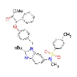 CCCCc1nc2ccc(N(C)S(=O)(=O)c3ccc(C)cc3)cc2n1Cc1ccc(OC(C(=O)OC)c2ccccc2)cc1